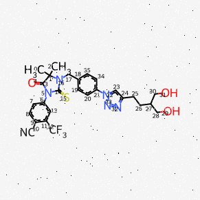 CC1(C)C(=O)N(c2ccc(C#N)c(C(F)(F)F)c2)C(=S)N1Cc1ccc(-n2cc(CCC(CO)CO)nn2)cc1